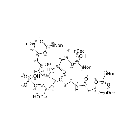 CCCCCCCCCCC[C@H](CC(=O)NCCO[C@@H]1OC(CO)[C@@H](OP(=O)(O)O)C(NC(=O)C[C@@H](CCCCCCCCCCC)OC(=O)CCCCCCCCC)C1NC(=O)C[C@@H](CCCCCCCCCCC)OC(O)CCCCCCCCC)OC(=O)CCCCCCCCC